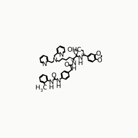 Cc1ccccc1NC(=O)Nc1ccc(CC(=O)N[C@@H](CCCCN(Cc2ccccn2)Cc2ccccn2)C(=O)N[C@@H](CC=O)c2ccc3c(c2)OCO3)cc1